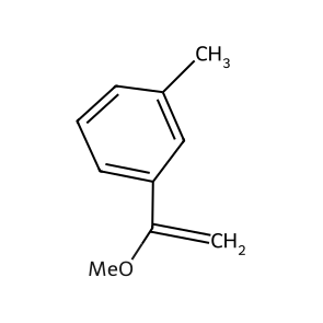 C=C(OC)c1cccc(C)c1